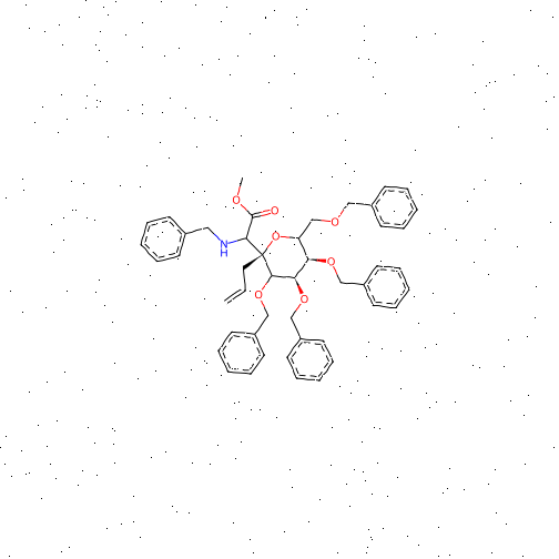 C=CC[C@@]1(C(NCc2ccccc2)C(=O)OC)OC(COCc2ccccc2)[C@@H](OCc2ccccc2)[C@@H](OCc2ccccc2)C1OCc1ccccc1